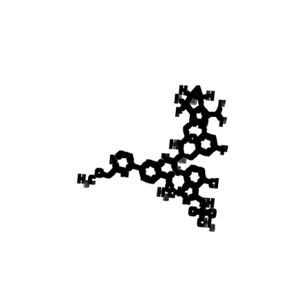 COCc1nccc(-c2ccc3c(=O)n(-c4ccc(Cl)c5c(NS(C)(=O)=O)nn(C)c45)c([C@H](Cc4cc(F)cc(F)c4)NC(=O)Cn4nc(C(F)F)c5c4C(F)(F)[C@@H]4C[C@H]54)nc3c2)n1